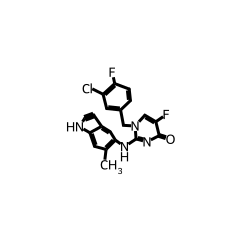 Cc1cc2[nH]c#cc2cc1Nc1nc(=O)c(F)cn1Cc1ccc(F)c(Cl)c1